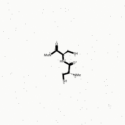 CNC(=O)[C@@H](CS)NC(=O)[C@@H](CS)NC